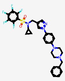 O=S(=O)(c1c(F)c(F)c(F)c(F)c1F)N(Cc1cnn(-c2ccc(N3CCN(Cc4ccccc4)CC3)cc2)c1)C1CC1